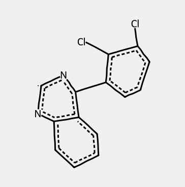 Clc1cccc(-c2n[c]nc3ccccc23)c1Cl